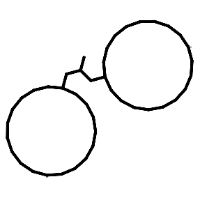 CC(CC1CCCCCCCC[CH]CCCCCCCCC1)CC1CCCCCCCC[CH]CCCCCCCCC1